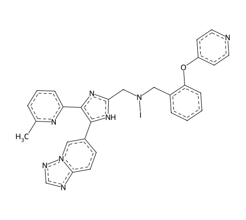 Cc1cccc(-c2nc(CN(I)Cc3ccccc3Oc3ccncc3)[nH]c2-c2ccc3ncnn3c2)n1